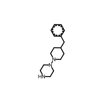 c1ccc(CC2CCN(N3CCNCC3)CC2)cc1